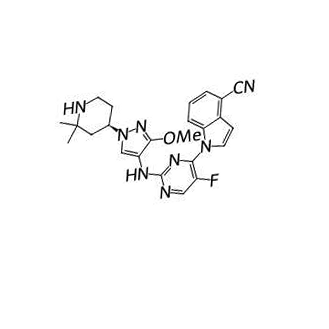 COc1nn([C@@H]2CCNC(C)(C)C2)cc1Nc1ncc(F)c(-n2ccc3c(C#N)cccc32)n1